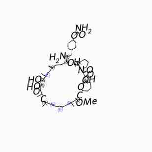 CO[C@H]1CC2CCC[C@@](O)(O2)C(=O)C(=O)N2CCCC[C@H]2CO[C@H]([C@H](N)C[C@H]2CC[C@H](OC(N)=O)CC2)CC[C@H](C)/C=C(\C)[C@@H](O)[C@@H](O)C(=O)C(C)C[C@H](C)/C=C/C=C/C=C/1C